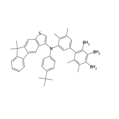 Bc1c(B)c(C)c(C)c(-c2cc(C)c(C)c(N(c3ccc(C(C)(C)C)cc3)c3csc4cc5c(cc34)-c3ccccc3C5(C)C)c2)c1B